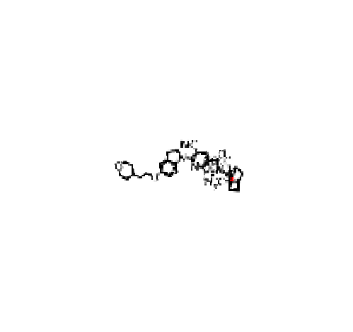 CC12CC3CC1CC2CC3(NC(=O)c1cc(C#N)c(N2CCc3cc(OCCC4CCOCC4)ccc32)nc1C(F)(F)F)C(=O)O